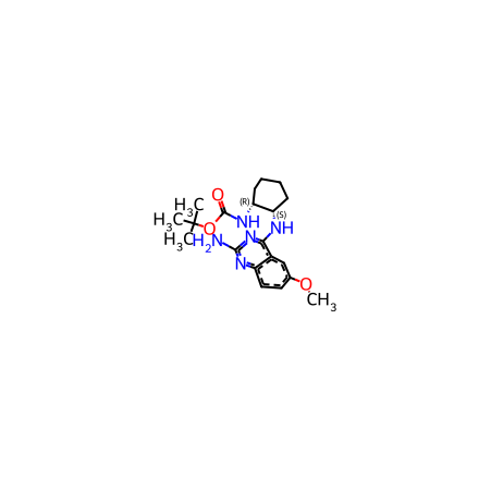 COc1ccc2nc(N)nc(N[C@H]3CCCC[C@H]3NC(=O)OC(C)(C)C)c2c1